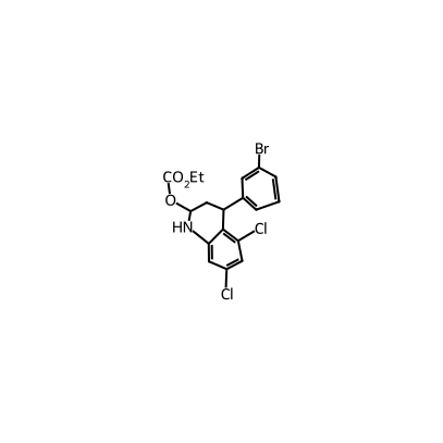 CCOC(=O)OC1CC(c2cccc(Br)c2)c2c(Cl)cc(Cl)cc2N1